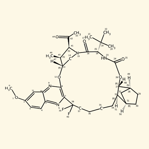 COc1ccc2nc3c(nc2c1)O[C@H]1CN(C(=O)[C@H](C(C)(C)C)NC(=O)O[C@@H]2[C@H]4CC[C@H](C4)[C@H]2CCCCC3(F)F)[C@H](C(C)=O)[C@@H]1C